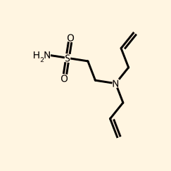 C=CCN(CC=C)CCS(N)(=O)=O